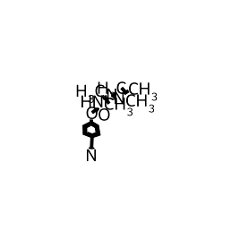 CC(C)(C)N=NC(C)(C)NC(=O)Oc1ccc(C#N)cc1